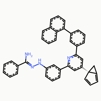 N/C(=N\Nc1cccc(-c2cc([C@@]34C=CC=C3C4)cc(-c3cccc(-c4cccc5ccccc45)c3)n2)c1)c1ccccc1